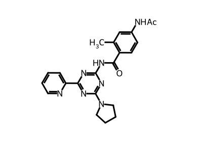 CC(=O)Nc1ccc(C(=O)Nc2nc(-c3ccccn3)nc(N3CCCC3)n2)c(C)c1